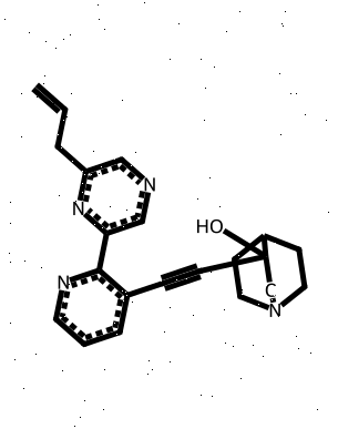 C=CCc1cncc(-c2ncccc2C#CC2(O)CN3CCC2CC3)n1